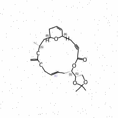 C=C1CC/C=C/C[C@@H]([C@@H]2COC(C)(C)O2)OC(=O)C#CC[C@@H]2C=CC[C@@H](C[C@@H](C)C1)O2